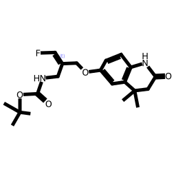 CC(C)(C)OC(=O)NC/C(=C\F)COc1ccc2c(c1)C(C)(C)CC(=O)N2